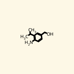 CC(C)c1cc(CO)ccc1N